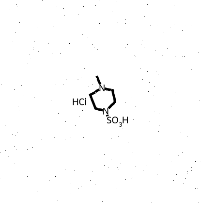 CN1CCN(S(=O)(=O)O)CC1.Cl